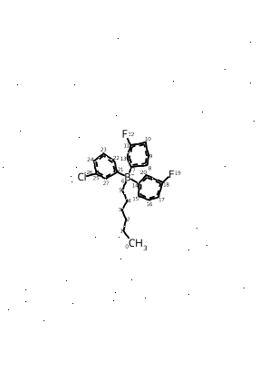 CCCCCC[B-](c1cccc(F)c1)(c1cccc(F)c1)c1cccc(Cl)c1